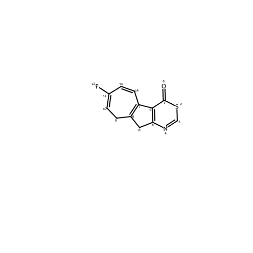 O=c1scnc2c1C1=C(CC=C(F)C=C1)C2